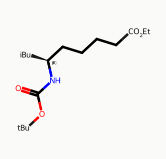 CCOC(=O)CCCC[C@@H](NC(=O)OC(C)(C)C)C(C)CC